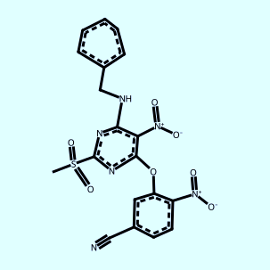 CS(=O)(=O)c1nc(NCc2ccccc2)c([N+](=O)[O-])c(Oc2cc(C#N)ccc2[N+](=O)[O-])n1